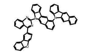 c1ccc2cc3c(cc2c1)c1ccccc1n3-c1cccc2cc3c(cc12)c1ccccc1n3-c1nc(-c2ccc3oc4ccccc4c3c2)c2ccccc2n1